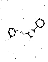 Cc1oc(-c2ccccc2)nc1COc1cccc([N+](=O)[O-])c1